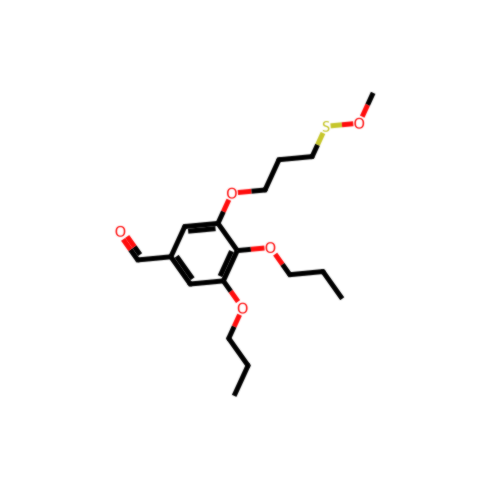 CCCOc1cc(C=O)cc(OCCCSOC)c1OCCC